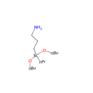 CCCCO[Si](CCC)(CCCN)OCCCC